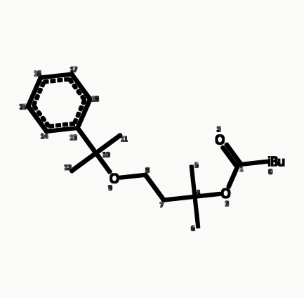 CCC(C)C(=O)OC(C)(C)CCOC(C)(C)c1ccccc1